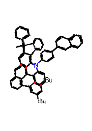 CC(C)(C)c1cc(-c2cccc3cccc(-c4ccccc4N(c4ccc(-c5ccc6ccccc6c5)cc4)c4cccc5c4-c4ccccc4C5(C)c4ccccc4)c23)cc(C(C)(C)C)c1